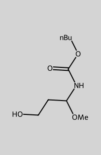 CCCCOC(=O)NC(CCO)OC